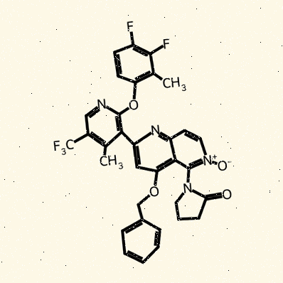 Cc1c(Oc2ncc(C(F)(F)F)c(C)c2-c2cc(OCc3ccccc3)c3c(N4CCCC4=O)[n+]([O-])ccc3n2)ccc(F)c1F